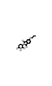 O=C1CCC(N2C(=O)c3ccc(OCCI)cc3C2=O)C(=O)N1